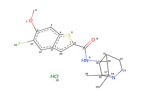 COc1cc2sc(C(=O)NC3C4CCN(CC4)C3(C)C)cc2cc1F.Cl